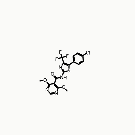 COc1ncnc(OC)c1C(=O)Nc1nc(C(F)(F)F)c(-c2ccc(Cl)cc2)s1